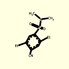 CCc1cc(S(=O)(=O)N(C)C)c(CC)cc1C#N